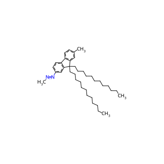 CCCCCCCCCCCCC1(CCCCCCCCCCCC)c2cc(C)ccc2-c2ccc(/N=N/C)cc21